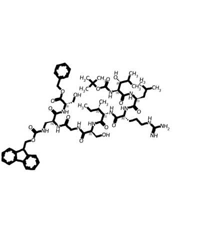 CC[C@H](C)[C@H](NC(=O)[C@@H](CCCNC(=N)N)NC(=O)[C@H](CC(C)C)NC(=O)[C@@H](NC(=O)OC(C)(C)C)[C@H](O)C(C)C)C(=O)N[C@@H](CO)C(=O)NCC(=O)N[C@@H](CNC(=O)OCC1c2ccccc2-c2ccccc21)C(=O)N[C@@H](CO)C(=O)OCc1ccccc1